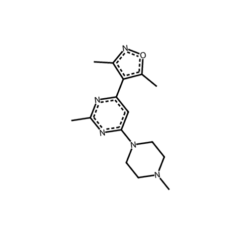 Cc1nc(-c2c(C)noc2C)cc(N2CCN(C)CC2)n1